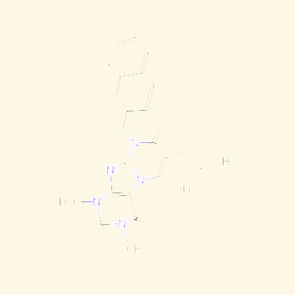 CCCc1c(O)n2c3c(=O)n(C)c(=O)n(C)c3nc2n(Cc2ccc3ccccc3c2)c1=O